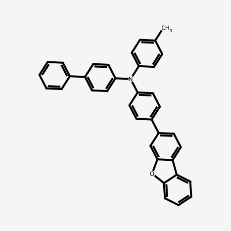 Cc1ccc(N(c2ccc(-c3ccccc3)cc2)c2ccc(-c3ccc4c(c3)oc3ccccc34)cc2)cc1